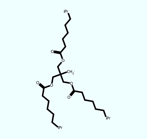 [CH2]C(COC(=O)CCCCCC(C)C)(COC(=O)CCCCCC(C)C)COC(=O)CCCCCC(C)C